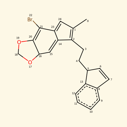 CC1=C(CCC2C=Cc3ccccc32)C2=CC3OCOC3=C(Br)C2=C1